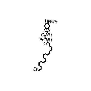 CC/C=C\C/C=C\C/C=C\C/C=C\C/C=C\C/C=C\CCC(=O)N[C@H](C(=O)Nc1nc2c(s1)C[C@H](NCCC)CC2)C(C)C